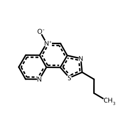 CCCc1nc2c[n+]([O-])c3cccnc3c2s1